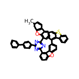 CC1C=Cc2c(oc3c(-c4nc(-c5ccc(-c6ccccc6)cc5)nc(-c5cccc6oc7ccc(-c8cccc9sc%10ccccc%10c89)cc7c56)n4)cccc23)C1